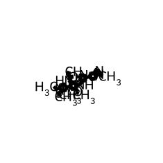 C=CC(=O)Nc1cc(Nc2cc(-c3ccc4c(cnn4C)c3)ncn2)c(OC)cc1N1CCN(CC)[C@@](C)(SC)C1